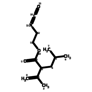 C=C(C)C(CC(C)C)C(=O)OCCN=C=O